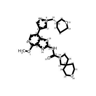 COc1ncc(-c2cnn(C[C@H]3CCCOC3)c2)c2sc(NC(=O)N3CCC4(CCOCC4)C3)nc12